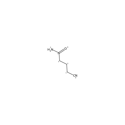 N#CCCCC(N)=O